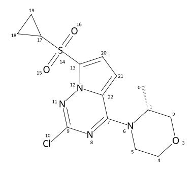 C[C@@H]1COCCN1c1nc(Cl)nn2c(S(=O)(=O)C3CC3)ccc12